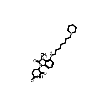 Cn1c(=O)n(C2CCC(=O)NC2=O)c2cccc(NCCCCCCCN3CCCCC3)c21